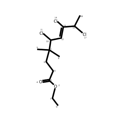 CCOC(=O)CCC(C)(C)C(Cl)C=C(Cl)C(C)Cl